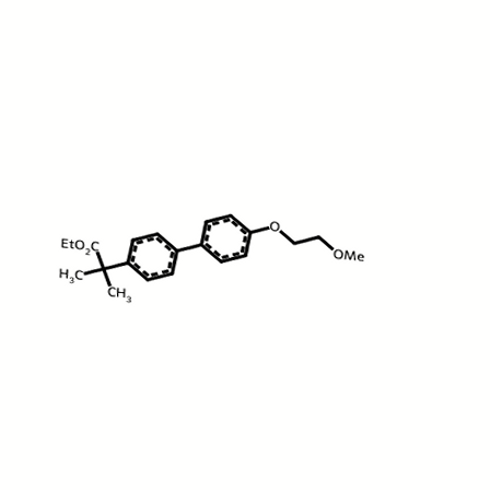 CCOC(=O)C(C)(C)c1ccc(-c2ccc(OCCOC)cc2)cc1